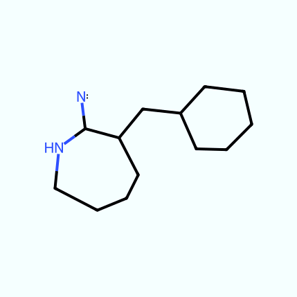 [N]C1NCCCCC1CC1CCCCC1